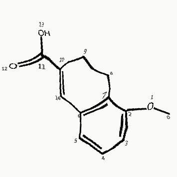 COc1cccc2c1CCC(C(=O)O)=C2